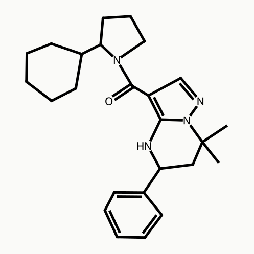 CC1(C)CC(c2ccccc2)Nc2c(C(=O)N3CCCC3C3CCCCC3)cnn21